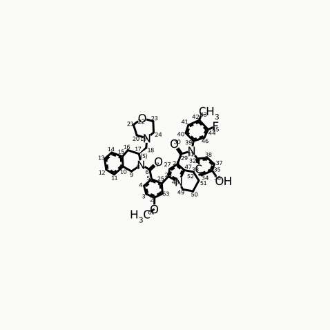 COc1ccc(C(=O)N2Cc3ccccc3C[C@H]2CN2CCOCC2)c(-c2cc(C(=O)N(c3ccc(O)cc3)c3ccc(C)c(F)c3)c3n2CCCC3)c1